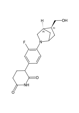 O=C1CCC(c2ccc(N3C[C@@H]4CC3C[C@@H]4CO)c(F)c2)C(=O)N1